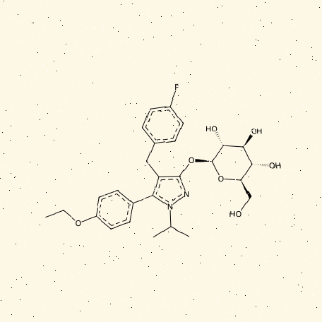 CCOc1ccc(-c2c(Cc3ccc(F)cc3)c(O[C@@H]3O[C@H](CO)[C@@H](O)[C@H](O)[C@H]3O)nn2C(C)C)cc1